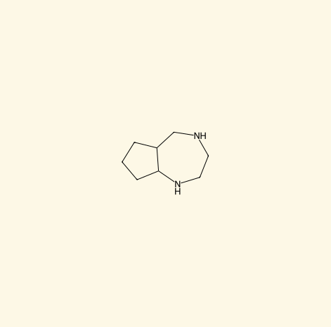 C1CC2CNCCNC2C1